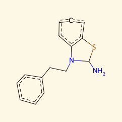 NC1Sc2ccccc2N1CCc1ccccc1